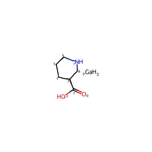 O=C(O)C1CCCNC1.[GaH3]